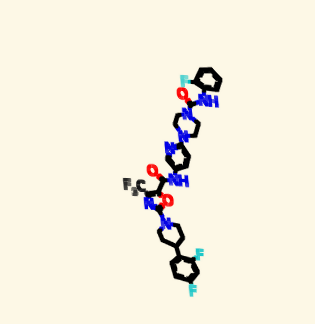 O=C(Nc1ccc(N2CCN(C(=O)Nc3ccccc3F)CC2)nc1)c1oc(N2CCC(c3ccc(F)cc3F)CC2)nc1C(F)(F)F